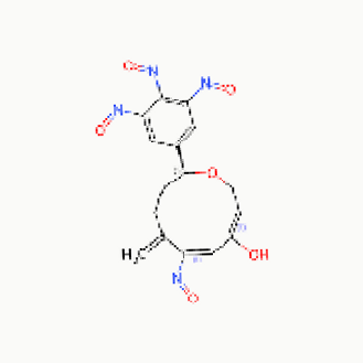 C=C1CC[C@@H](c2cc(N=O)c(N=O)c(N=O)c2)OC/C=C(O)\C=C/1N=O